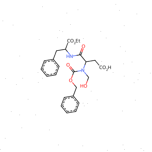 CCOC(=O)C(Cc1ccccc1)NC(=O)C(CC(=O)O)N(CO)C(=O)OCc1ccccc1